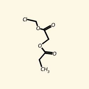 CCC(=O)OCC(=O)OCCl